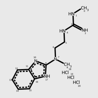 CNC(=N)NCCN(C)c1nc2ccccc2[nH]1.Cl.Cl.Cl